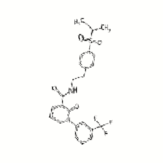 CC(C)S(=O)(=O)c1ccc(CCNC(=O)c2cccn(-c3cccc(C(F)(F)F)c3)c2=O)cc1